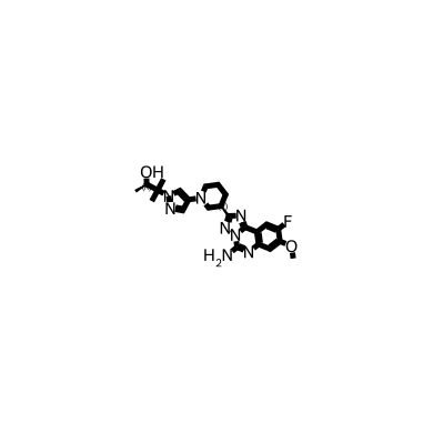 COc1cc2nc(N)n3nc([C@@H]4CCCN(c5cnn(C(C)(C)[C@@H](C)O)c5)C4)nc3c2cc1F